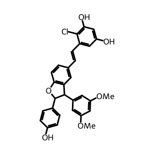 COc1cc(OC)cc(C2c3cc(/C=C/c4cc(O)cc(O)c4Cl)ccc3OC2c2ccc(O)cc2)c1